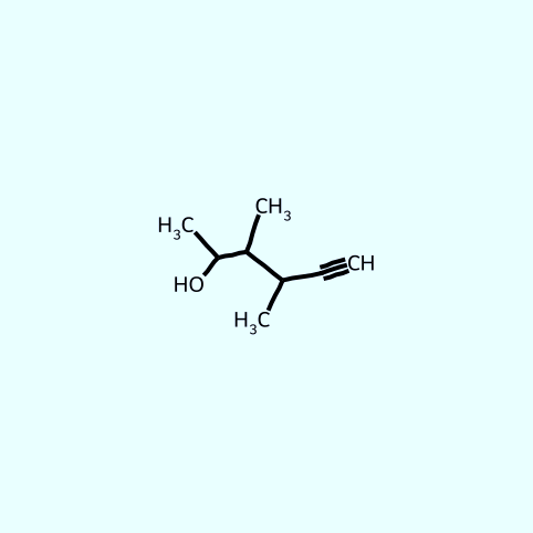 C#CC(C)C(C)C(C)O